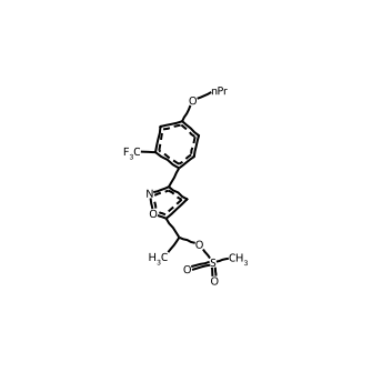 CCCOc1ccc(-c2cc(C(C)OS(C)(=O)=O)on2)c(C(F)(F)F)c1